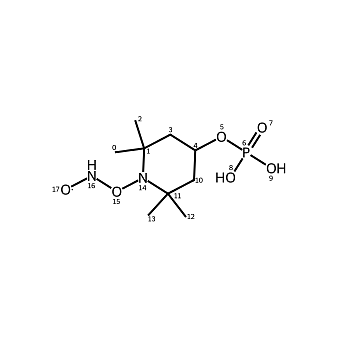 CC1(C)CC(OP(=O)(O)O)CC(C)(C)N1ON[O]